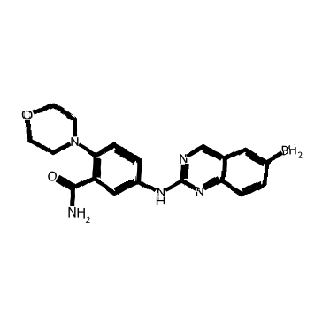 Bc1ccc2nc(Nc3ccc(N4CCOCC4)c(C(N)=O)c3)ncc2c1